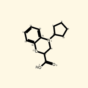 O=C(O)C1CN(C2CCCC2)c2ccccc2O1